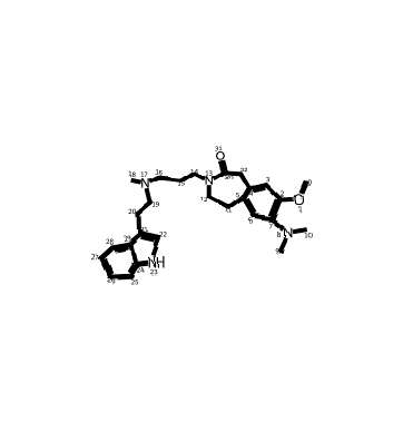 COc1cc2c(cc1N(C)C)CCN(CCCN(C)CCc1c[nH]c3ccccc13)C(=O)C2